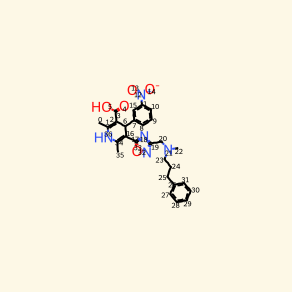 CC1=C(C(=O)O)C(c2cccc([N+](=O)[O-])c2)C(c2nc(CN(C)CCCc3ccccc3)no2)=C(C)N1